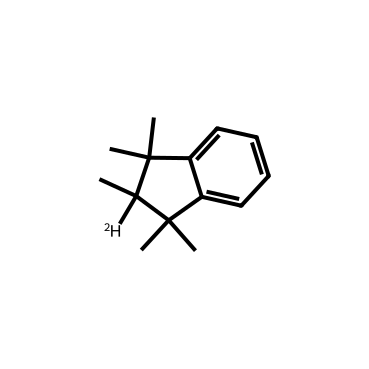 [2H]C1(C)C(C)(C)c2ccccc2C1(C)C